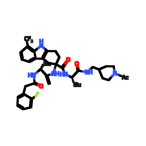 C=C(N[C@]1(C(=O)N[C@H](C(=O)NCC2CCN(C(C)=O)CC2)C(C)CC)CCc2[nH]c3c(C(F)(F)F)cccc3c2C1)[C@@H](NC(=O)Cc1ccccc1F)C(C)CC